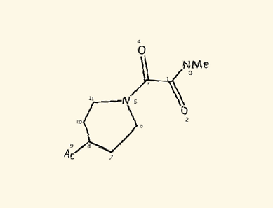 CNC(=O)C(=O)N1CCC(C(C)=O)CC1